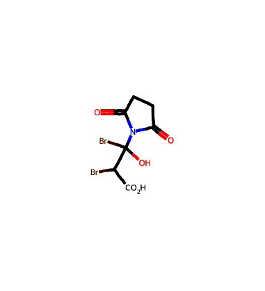 O=C(O)C(Br)C(O)(Br)N1C(=O)CCC1=O